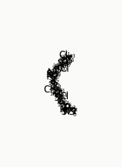 Cc1ccc(-c2ccc(-c3ccc(-c4sc5c(C)c6c(Cl)c(-c7ccc(-c8ccc(-c9ccc(-c%10sc%11c(C)c%12c(Cl)c(C)sc%12c(C)c%11c%10Cl)s9)c9nsnc89)s7)sc6c(C)c5c4Cl)s3)c3nsnc23)s1